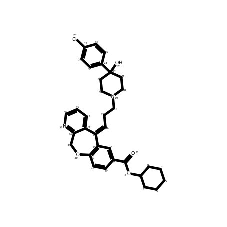 O=C(OC1CCCCC1)c1ccc2c(c1)/C(=C/CCN1CCC(O)(c3ccc(Cl)cc3)CC1)c1cccnc1CO2